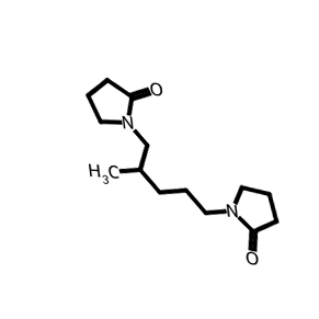 CC(CCCN1CCCC1=O)CN1CCCC1=O